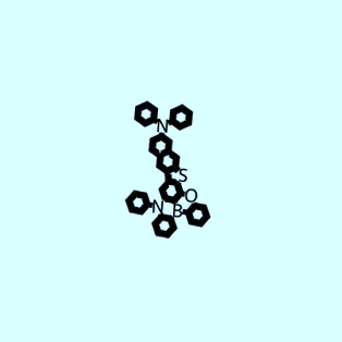 c1ccc(N(c2ccccc2)c2ccc3cc4c(cc3c2)sc2c3c5c(cc24)N(c2ccccc2)c2ccccc2B5c2ccccc2O3)cc1